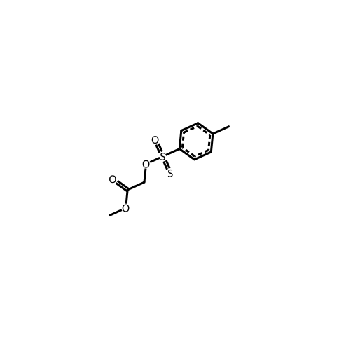 COC(=O)COS(=O)(=S)c1ccc(C)cc1